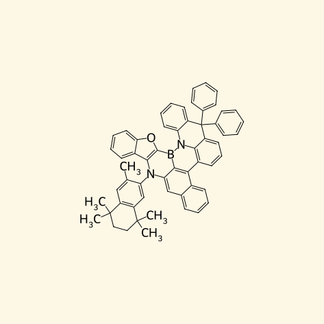 Cc1cc2c(cc1N1c3cc4ccccc4c4c3B(c3oc5ccccc5c31)N1c3ccccc3C(c3ccccc3)(c3ccccc3)c3cccc-4c31)C(C)(C)CCC2(C)C